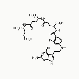 CN(CCc1c[nH]c2nc(N)nc(O)c12)c1ccc(C(=O)N[C@@H](CCC(=O)N[C@@H](CCC(=O)N[C@@H](CCC(=O)O)C(=O)O)C(=O)O)C(=O)O)c(F)c1